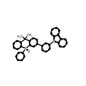 CC1(C)c2ccccc2P(=O)(c2ccccc2)c2cc(-c3cccc(-n4c5ccccc5c5ccccc54)c3)ccc21